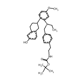 CCN(Cc1ccc(CCNC(=O)OC(C)(C)C)cc1)c1cc(OC)ccc1C1CCc2cc(O)ccc2C1